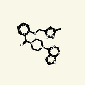 Cc1cc(CSc2ccccc2C(=O)N2CCN(c3ncnc4sccc34)CC2)on1